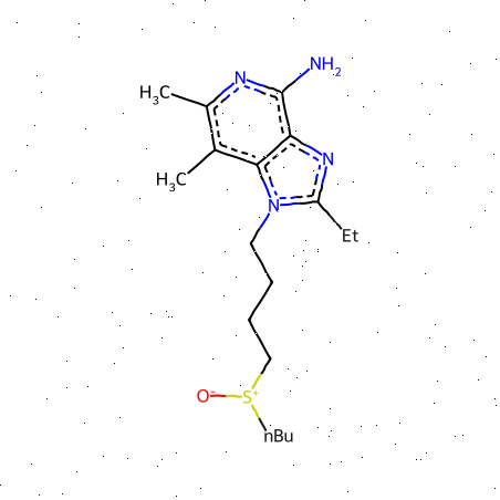 CCCC[S+]([O-])CCCCn1c(CC)nc2c(N)nc(C)c(C)c21